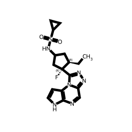 CC[C@@H]1CC(NS(=O)(=O)C2CC2)C[C@]1(F)c1nnc2cnc3[nH]ccc3n12